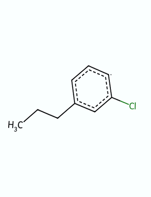 CCCc1cc[c]c(Cl)c1